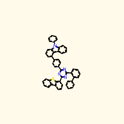 c1ccc(-c2ccccc2-c2nc(-c3ccc(-c4cccc5c4c4ccccc4n5-c4ccccc4)cc3)nc(-c3cccc4c3sc3ccccc34)n2)cc1